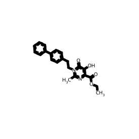 CCOC(=O)c1nc(C)n(CCc2ccc(-c3ccccc3)cc2)c(=O)c1O